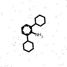 Nc1c(C2CCCCC2)cccc1C1CCCCC1